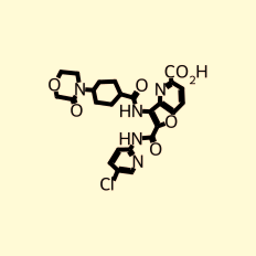 O=C(O)c1ccc2oc(C(=O)Nc3ccc(Cl)cn3)c(NC(=O)C3CCC(N4CCOCC4=O)CC3)c2n1